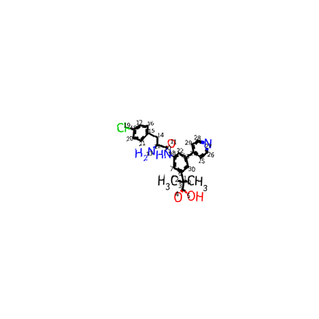 CC(C)(C(=O)O)c1cc(NC(=O)C(N)Cc2ccc(Cl)cc2)cc(-c2ccncc2)c1